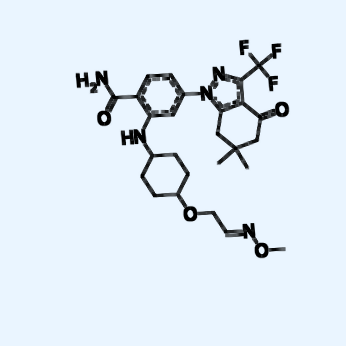 CO/N=C/COC1CCC(Nc2cc(-n3nc(C(F)(F)F)c4c3CC(C)(C)CC4=O)ccc2C(N)=O)CC1